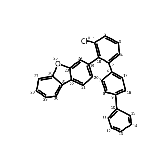 Clc1cccc(-c2ccc(-c3ccccc3)cc2)c1-c1ccc2c(c1)oc1ccccc12